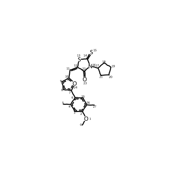 COc1cc(C)c(-c2ccc(C=C3SC(=S)N(C4CCCC4)C3=O)o2)cc1C